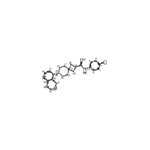 O=C(Nc1ccc(Cl)cc1)C1CC2(CCC(c3ccnc4ccncc34)CC2)C1